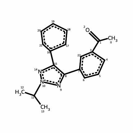 CC(=O)c1cccc(-c2nn(C(C)C)nc2-c2ccccc2)c1